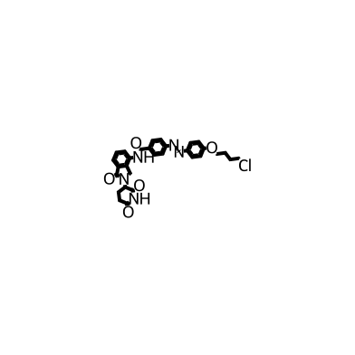 O=C1CCC(N2Cc3c(NC(=O)c4ccc(N=Nc5ccc(OCCCCCl)cc5)cc4)cccc3C2=O)C(=O)N1